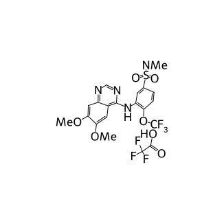 CNS(=O)(=O)c1ccc(OC(F)(F)F)c(Nc2ncnc3cc(OC)c(OC)cc23)c1.O=C(O)C(F)(F)F